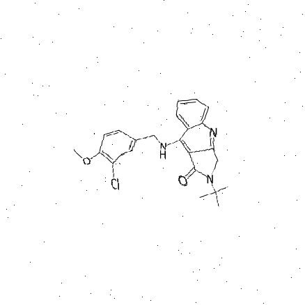 COc1ccc(CNc2c3c(nc4ccccc24)CN(C(C)(C)C)C3=O)cc1Cl